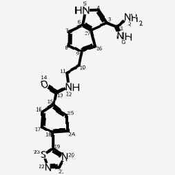 N=C(N)c1c[nH]c2ccc(CCNC(=O)c3ccc(-c4ncns4)cc3)cc12